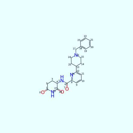 O=C1CCC(NC(=O)c2cccc(C3CCN(Cc4ccccc4)CC3)n2)C(=O)N1